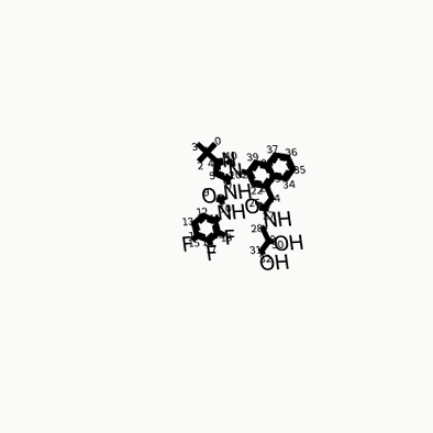 CC(C)(C)c1cc(NC(=O)Nc2ccc(F)c(F)c2F)n(-c2cc(CC(=O)NCC(O)CO)c3ccccc3c2)n1